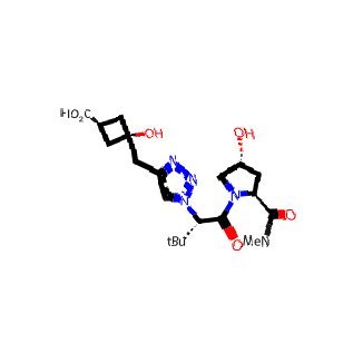 CNC(=O)[C@@H]1C[C@@H](O)CN1C(=O)[C@@H](n1cc(C[C@]2(O)C[C@@H](C(=O)O)C2)nn1)C(C)(C)C